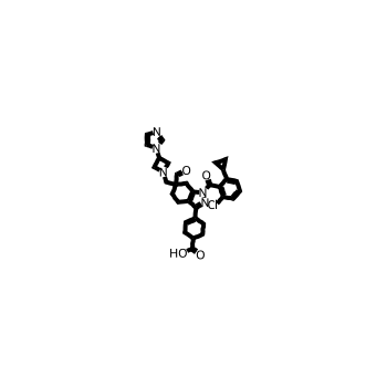 O=CC1(CN2CC(n3ccnc3)C2)CCc2c(C3=CCC(C(=O)O)CC3)nn(C(=O)c3c(Cl)cccc3C3CC3)c2C1